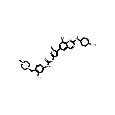 CCc1cc(-c2cc(NC(=O)Nc3ccc(CN4CCN(C)CC4)c(C(F)(F)F)c3)nn2C)cc2cnc(NC3CCC(O)CC3)nc12